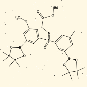 Cc1cc(B2OC(C)(C)C(C)(C)O2)cc(S(=O)(=NCC(=O)OC(C)(C)C)c2cc(OC(F)(F)F)cc(B3OC(C)(C)C(C)(C)O3)c2)c1